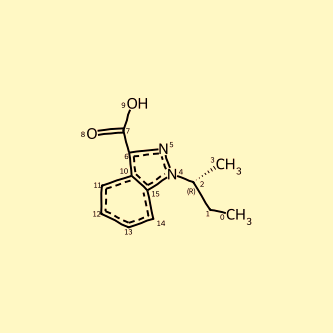 CC[C@@H](C)n1nc(C(=O)O)c2ccccc21